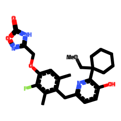 COCC1(c2nc(Cc3c(C)cc(OCc4noc(=O)[nH]4)c(F)c3C)ccc2O)CCCCC1